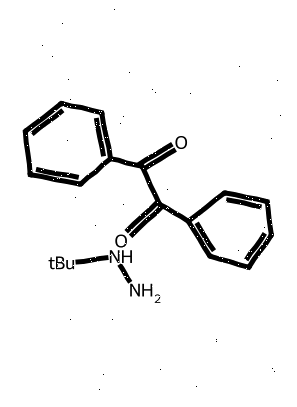 CC(C)(C)NN.O=C(C(=O)c1ccccc1)c1ccccc1